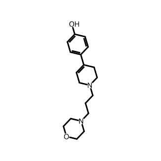 Oc1ccc(C2=CCN(CCCN3CCOCC3)CC2)cc1